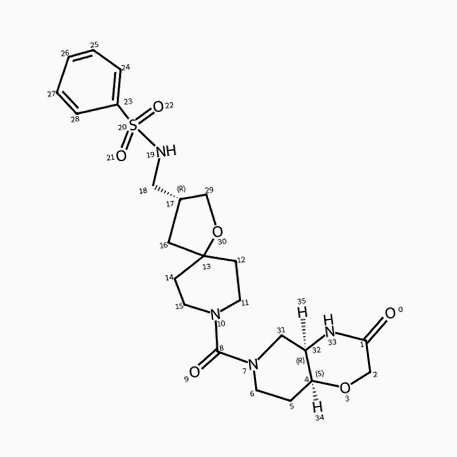 O=C1CO[C@H]2CCN(C(=O)N3CCC4(CC3)C[C@H](CNS(=O)(=O)c3ccccc3)CO4)C[C@H]2N1